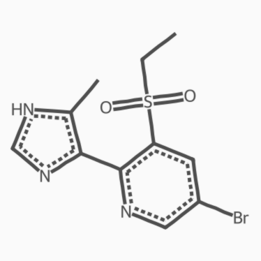 CCS(=O)(=O)c1cc(Br)cnc1-c1nc[nH]c1C